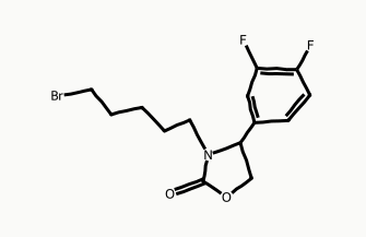 O=C1OCC(c2ccc(F)c(F)c2)N1CCCCCBr